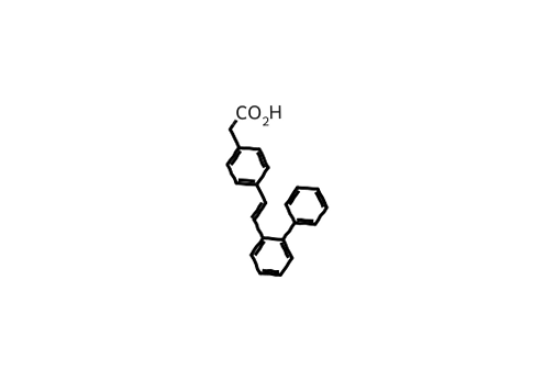 O=C(O)Cc1ccc(/C=C/c2ccccc2-c2ccccc2)cc1